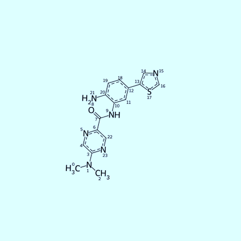 CN(C)c1cnc(C(=O)Nc2cc(-c3cncs3)ccc2N)cn1